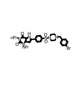 CCCn1c(=O)c2[nH]c(-c3ccc(S(=O)(=O)N4CCN(Cc5ccc(Br)cc5)CC4)cc3)cc2n(CCC)c1=O